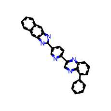 c1ccc(-c2cccc3nc(-c4ccc(C5N=c6cc7ccccc7cc6=N5)cn4)cnc23)cc1